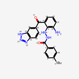 CC(C)(C)c1ccc(C(=O)NNc2c(N)cccc2C(=O)c2ccc3nn[nH]c3c2)cc1